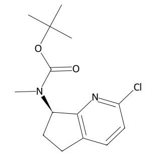 CN(C(=O)OC(C)(C)C)[C@@H]1CCc2ccc(Cl)nc21